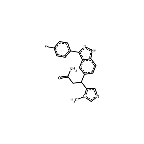 Cn1cncc1C(CC(N)=O)c1ccc2[nH]nc(-c3ccc(F)cc3)c2c1